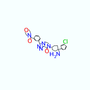 NCC1(c2cccc(Cl)c2)CCC(N2CCn3c(nnc3-c3cccc(C(=O)N4CCOCC4)c3)C2=O)CC1